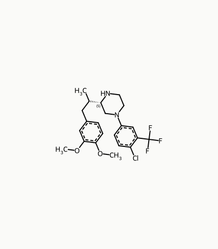 COc1ccc(CC(C)[C@H]2CN(c3ccc(Cl)c(C(F)(F)F)c3)CCN2)cc1OC